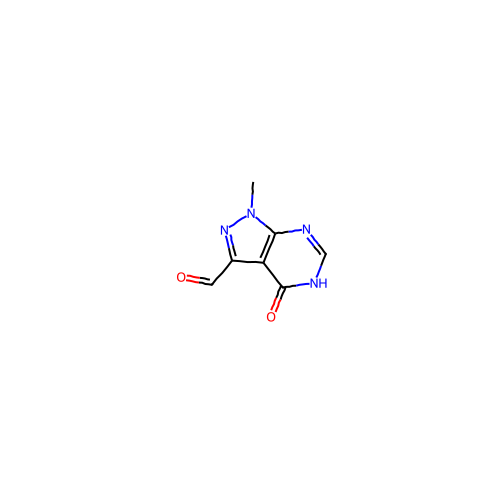 Cn1nc(C=O)c2c(=O)[nH]cnc21